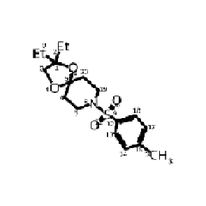 CCC1(CC)COC2(CCN(S(=O)(=O)c3ccc(C)cc3)CC2)O1